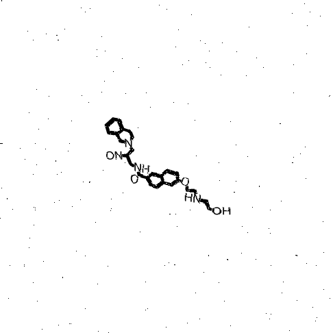 O=NC(CNC(=O)c1ccc2cc(OCCNCCO)ccc2c1)CN1CCc2ccccc2C1